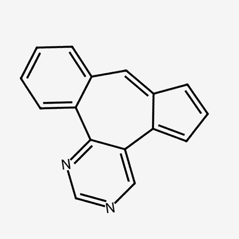 c1cc2cc3ccccc3c3ncncc3c-2c1